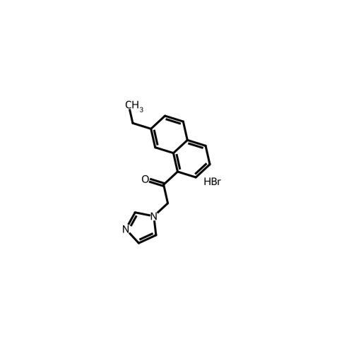 Br.CCc1ccc2cccc(C(=O)Cn3ccnc3)c2c1